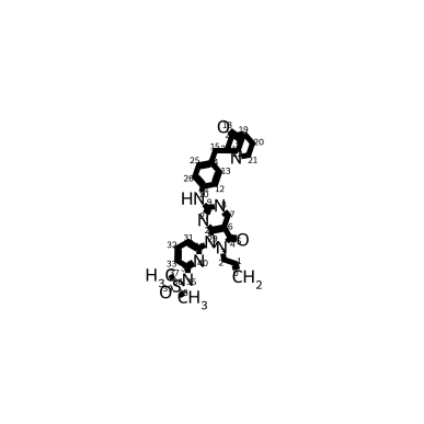 C=CCn1c(=O)c2cnc(Nc3ccc(CC4C(=O)C5CCN4CC5)cc3)nc2n1-c1cccc(N=S(C)(C)=O)n1